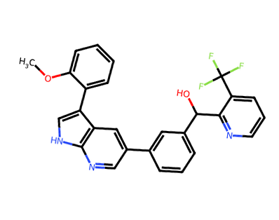 COc1ccccc1-c1c[nH]c2ncc(-c3cccc(C(O)c4ncccc4C(F)(F)F)c3)cc12